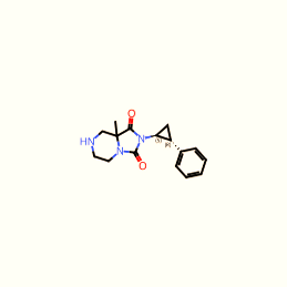 CC12CNCCN1C(=O)N([C@H]1C[C@@H]1c1ccccc1)C2=O